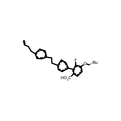 C=CCCc1ccc(CCc2ccc(-c3c(C(=O)O)ccc(OC[C@@H](C)CC)c3F)cc2)cc1